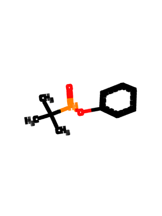 CC(C)(C)[PH](=O)Oc1ccccc1